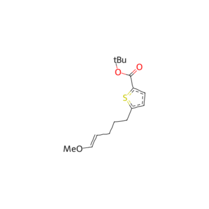 COC=CCCCc1ccc(C(=O)OC(C)(C)C)s1